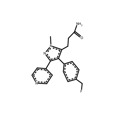 Cn1nc(-c2ccncc2)c(-c2ccc(CF)cc2)c1CCC(N)=O